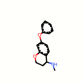 CNC1CCOc2cc(Oc3ccccc3)ccc21